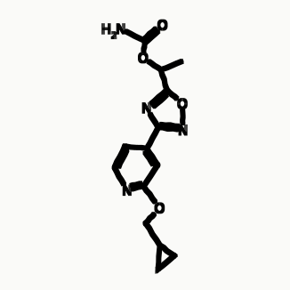 CC(OC(N)=O)c1nc(-c2ccnc(OCC3CC3)c2)no1